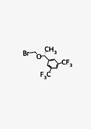 C[C@@H](OCBr)c1cc(C(F)(F)F)cc(C(F)(F)F)c1